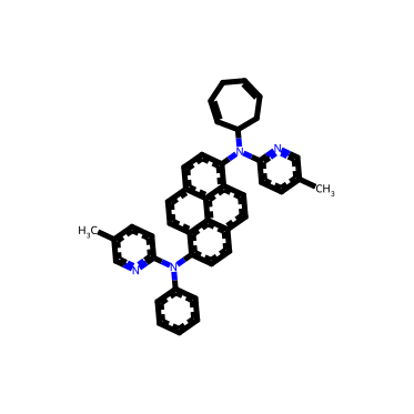 Cc1ccc(N(c2ccccc2)c2ccc3ccc4c(N(c5ccc(C)cn5)C5C=CCC=CC5)ccc5ccc2c3c54)nc1